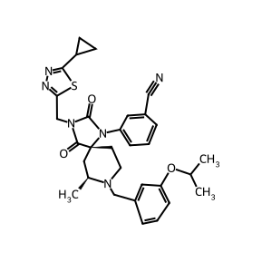 CC(C)Oc1cccc(CN2CC[C@@]3(C[C@@H]2C)C(=O)N(Cc2nnc(C4CC4)s2)C(=O)N3c2cccc(C#N)c2)c1